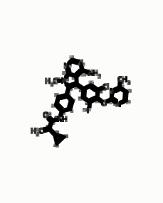 C=C(C(=O)Nc1ccc(-c2c(-c3cc(F)c(Oc4nccc(C)n4)c(Cl)c3)c3c(N)ncnc3n2C)cc1)C1CC1